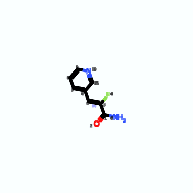 NC(=O)/C(F)=C/c1cccnc1